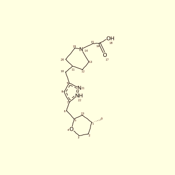 C[C@@H]1CCOC(Cc2cc(CC3CCN(CC(=O)O)CC3)n[nH]2)C1